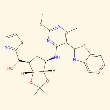 CSc1nc(C)c(-c2nc3ccccc3s2)c(N[C@@H]2C[C@H](C(O)c3nccs3)[C@H]3OC(C)(C)O[C@H]32)n1